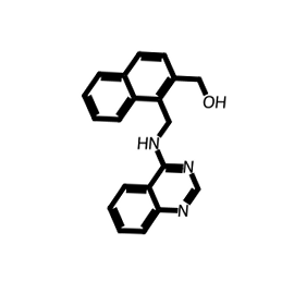 OCc1ccc2ccccc2c1CNc1ncnc2ccccc12